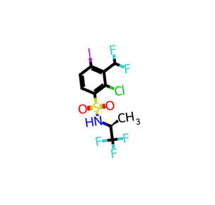 C[C@H](NS(=O)(=O)c1ccc(I)c(C(F)F)c1Cl)C(F)(F)F